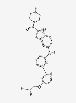 O=C(c1cc2cc(Nc3nccc(-c4cc(OCC(F)F)ccn4)n3)ccc2[nH]1)N1CCNCC1